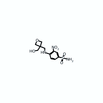 NS(=O)(=O)c1ccc(NCC2(CO)COC2)c([N+](=O)[O-])c1